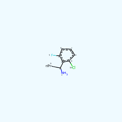 CCCC(N)c1c(F)cccc1Cl